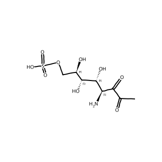 CC(=O)C(=O)[C@@H](N)[C@@H](O)[C@H](O)[C@H](O)COS(=O)(=O)O